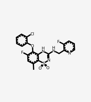 Cc1cc(F)c(Oc2ccccc2Cl)c2c1S(=O)(=O)N=C(NCc1ncccc1F)N2